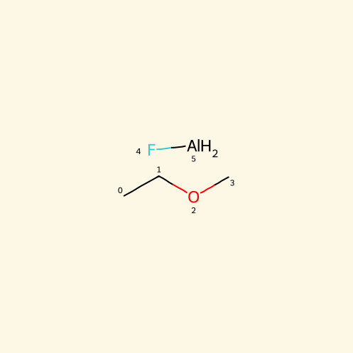 CCOC.[F][AlH2]